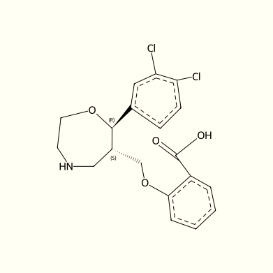 O=C(O)c1ccccc1OC[C@@H]1CNCCO[C@H]1c1ccc(Cl)c(Cl)c1